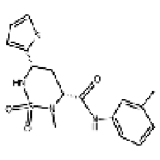 Cc1cccc(NC(=O)[C@H]2C[C@@H](c3cccs3)NS(=O)(=O)N2C)c1